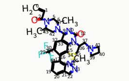 C=CC(=O)N1C[C@H](C)N(c2nc(=O)n3c4c(c(-c5cccc6cnn(C)c56)c(C(F)(F)F)cc24)SCC3CN2CCC2)C[C@H]1C